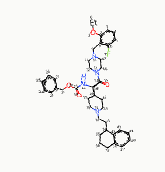 CCOc1cccc(F)c1CN1CCN(C(=O)[C@H](NC(=O)OCc2ccccc2)C2CCN(CCC3CCCc4ccccc43)CC2)CC1